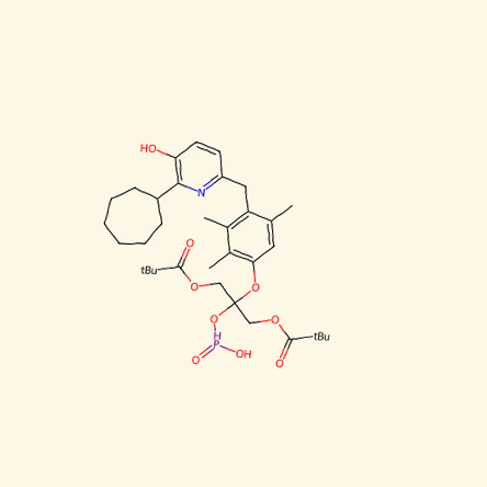 Cc1cc(OC(COC(=O)C(C)(C)C)(COC(=O)C(C)(C)C)O[PH](=O)O)c(C)c(C)c1Cc1ccc(O)c(C2CCCCCC2)n1